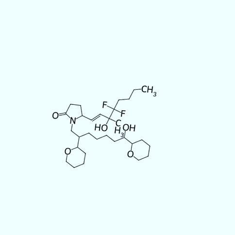 CCCCC(F)(F)C(C)(O)C=CC1CCC(=O)N1CC(CCCCC(O)C1CCCCO1)C1CCCCO1